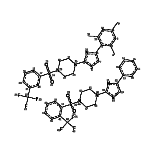 Cc1cc(C)c(-c2csc(N3CCN(S(=O)(=O)c4cccc(C(F)(F)F)c4)CC3)n2)c(C)c1.O=S(=O)(c1ccccc1C(F)(F)F)N1CCN(c2nc(-c3ccccc3)cs2)CC1